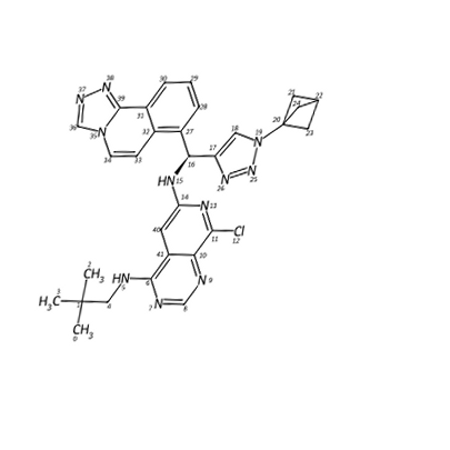 CC(C)(C)CNc1ncnc2c(Cl)nc(N[C@H](c3cn(C45CC(C4)C5)nn3)c3cccc4c3ccn3cnnc43)cc12